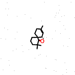 CC1=C[C@H](C)C2(CCCC(C)(C)C2=O)CC1